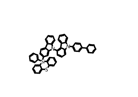 c1ccc(-c2ccc(-n3c4ccccc4c4c(-n5c6ccccc6c6ccc([Si]7(c8ccccc8)c8ccccc8Sc8ccccc87)cc65)cccc43)cc2)cc1